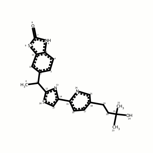 CC(c1ccc2[nH]c(=O)sc2c1)c1nc(-c2ccc(CCC(C)(C)O)cn2)cs1